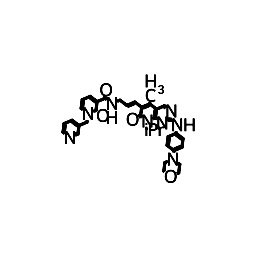 Cc1c(C=CCNC(=O)c2cccn(Cc3cccnc3)c2=O)c(=O)n(C(C)C)c2nc(Nc3ccc(N4CCOCC4)cc3)ncc12